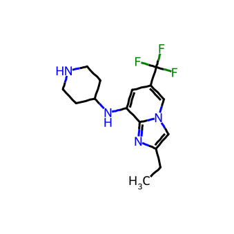 CCc1cn2cc(C(F)(F)F)cc(NC3CCNCC3)c2n1